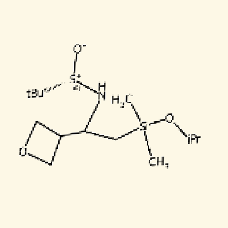 CC(C)O[Si](C)(C)CC(N[S@@+]([O-])C(C)(C)C)C1COC1